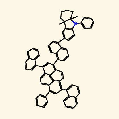 CC12CCCCC1(C)N(c1ccccc1)c1ccc(-c3cccc4c(-c5cc(-c6cccc7ccccc67)c6ccc7c(-c8ccccc8)cc(-c8cccc9ccccc89)c8ccc5c6c78)cccc34)cc12